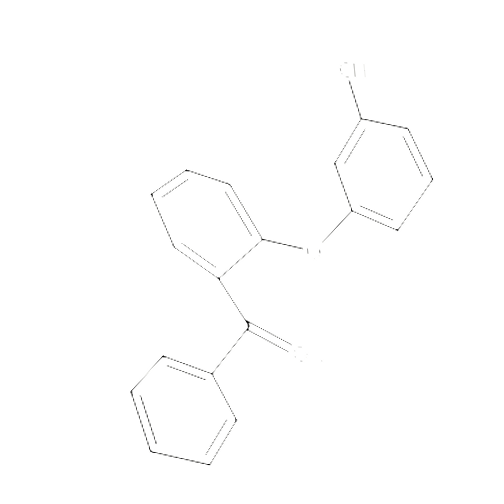 Cc1cccc(Oc2ccccc2C(=O)c2ccccc2)c1